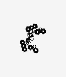 c1ccc2c(N(c3ccc4c(c3)oc3ccccc34)c3ccc4c(n3)oc3nc(N(c5ccc6c(c5)oc5ccccc56)c5c6ccccc6cc6ccccc56)nnc34)c3ccccc3cc2c1